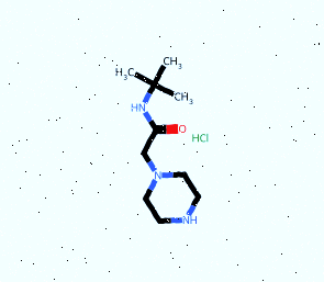 CC(C)(C)NC(=O)CN1CCNCC1.Cl